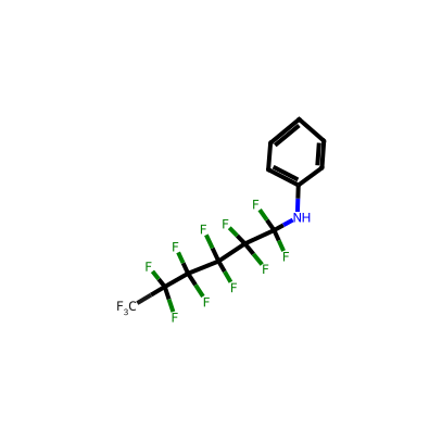 FC(F)(F)C(F)(F)C(F)(F)C(F)(F)C(F)(F)C(F)(F)Nc1ccccc1